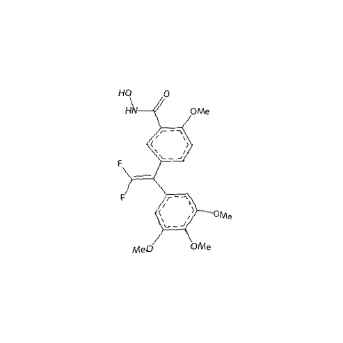 COc1ccc(C(=C(F)F)c2cc(OC)c(OC)c(OC)c2)cc1C(=O)NO